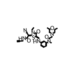 C#CCNC(=O)C(C#N)=c1sc(=CNc2cccc(N(C)C(=O)CN3CC(C)OC(C)C3)c2)c(=O)n1CC